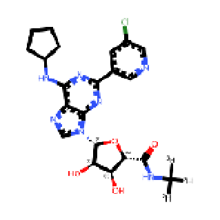 [2H]C([2H])([2H])NC(=O)[C@H]1O[C@@H](n2cnc3c(NC4CCCC4)nc(-c4cncc(Cl)c4)nc32)[C@H](O)[C@@H]1O